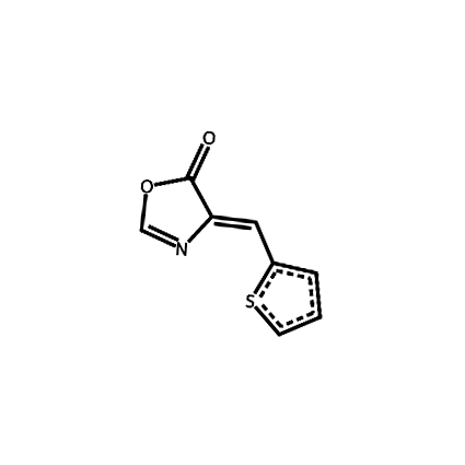 O=C1OC=NC1=Cc1cccs1